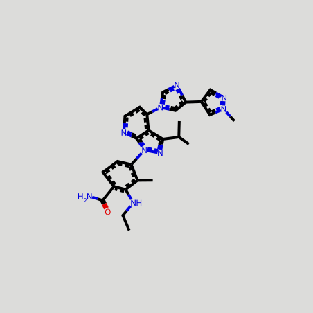 CCNc1c(C(N)=O)ccc(-n2nc(C(C)C)c3c(-n4cnc(-c5cnn(C)c5)c4)ccnc32)c1C